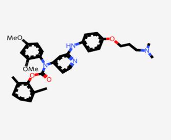 COc1ccc(N(C(=O)Oc2c(C)cccc2C)c2ccnc(Nc3ccc(OCCCN(C)C)cc3)c2)c(OC)c1